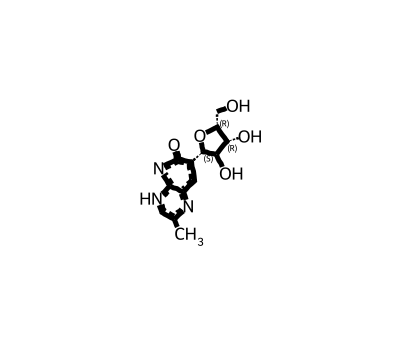 Cc1c[nH]c2nc(=O)c([C@@H]3O[C@H](CO)[C@H](O)C3O)cc-2n1